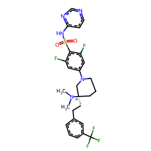 CN(C)[C@]1(CCc2cccc(C(F)(F)F)c2)CCCN(c2cc(F)c(S(=O)(=O)Nc3ccncn3)c(F)c2)C1